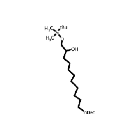 CCCCCCCCCCCCCCCCCCCC(O)CO[Si](C)(C)C(C)(C)C